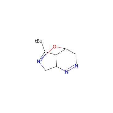 CC(C)(C)C1=[N+]2CC3N=NCC(O2)C13